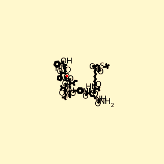 CCC(C)C(C(CC(=O)N1CCCC1C(OC)C(C)C(=O)NC(C)C(O)c1ccccc1)OC)N(C)C(=O)C(NC(=O)C(C(C)C)N(C)C(=O)OCc1ccc(NC(=O)C(CCCNC(N)=O)NC(=O)C(NC(=O)CCCCCN2C(=O)CC(SCC(C)(C)C)C2=O)C(C)C)cc1)C(C)C